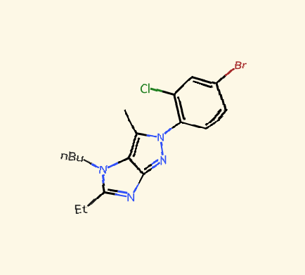 CCCCn1c(CC)nc2nn(-c3ccc(Br)cc3Cl)c(C)c21